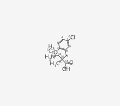 COc1ccc(Cl)cc1CC(C)(CN)C(=O)O